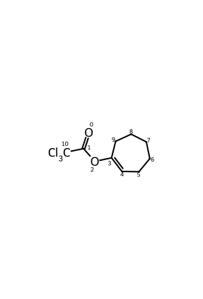 O=C(OC1=CCCCCC1)C(Cl)(Cl)Cl